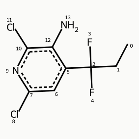 CCC(F)(F)c1cc(Cl)nc(Cl)c1N